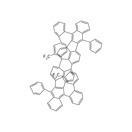 FC(F)(F)c1cccc(-c2ccccc2-c2c3c(c(-c4ccccc4)c4ccccc24)-c2ccc4c5ccc6c7c(ccc(c8ccc-3c2c48)c75)-c2c-6c(-c3ccccc3-c3cccc(C(F)(F)F)c3)c3ccccc3c2-c2ccccc2)c1